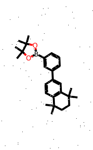 CC1(C)CCC(C)(C)c2cc(-c3cccc(B4OC(C)(C)C(C)(C)O4)c3)ccc21